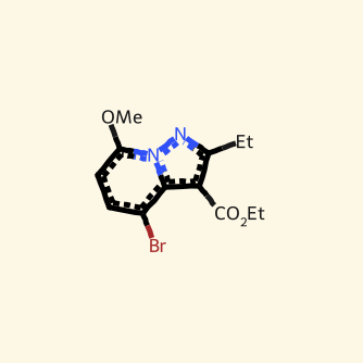 CCOC(=O)c1c(CC)nn2c(OC)ccc(Br)c12